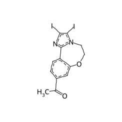 CC(=O)c1ccc2c(c1)OCCn1c-2nc(I)c1I